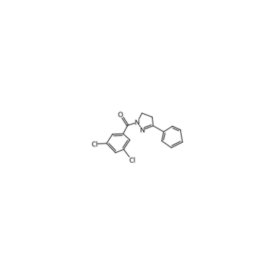 O=C(c1cc(Cl)cc(Cl)c1)N1CCC(c2ccccc2)=N1